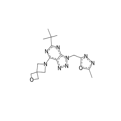 Cc1nnc(Cn2nnc3c(N4CC5(COC5)C4)nc(C(C)(C)C)nc32)o1